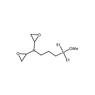 CC[Si](CC)(CCCN(C1CO1)C1CO1)OC